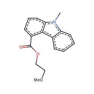 COCCOC(=O)c1cccc2c1c1ccccc1n2C